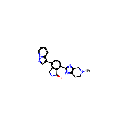 CC(C)N1CCc2[nH]c(-c3ccc(-c4cnn5ccccc45)c4c3C(=O)NC4)nc2C1